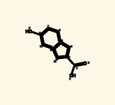 O=S(O)c1cc2ccc(O)cc2s1